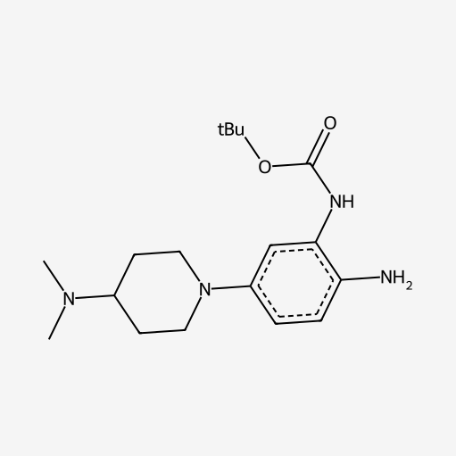 CN(C)C1CCN(c2ccc(N)c(NC(=O)OC(C)(C)C)c2)CC1